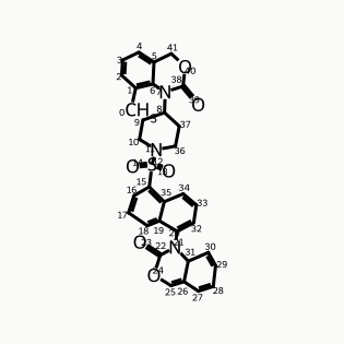 Cc1cccc2c1N(C1CCN(S(=O)(=O)c3cccc4c(N5C(=O)OC=C6C=CC=CC65)cccc34)CC1)C(=O)OC2